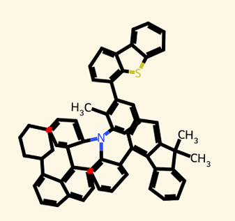 Cc1c(-c2cccc3c2sc2ccccc23)cccc1N(c1ccccc1-c1cccc2c1-c1ccccc1C2(C)C)c1ccccc1-c1cccc2cccc(C3CCCCC3)c12